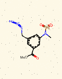 COC(=O)c1cc(CN=[N+]=[N-])cc(N(C)[SH](=O)=O)c1